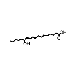 CCCCCC(O)/C=C/C=C/C/C=C/CCCCC(=O)O